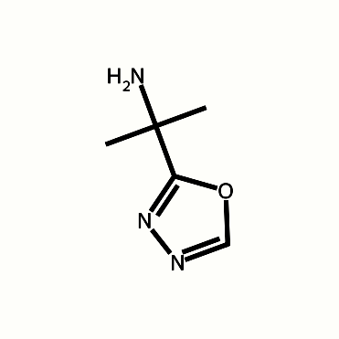 CC(C)(N)c1nnco1